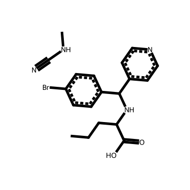 CCCC(NC(c1ccncc1)c1ccc(Br)cc1)C(=O)O.CNC#N